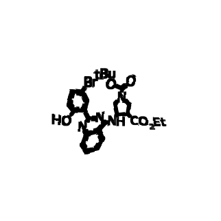 CCOC(=O)C1CN(C(=O)OC(C)(C)C)CC1Nc1nc(-c2cc(Br)ccc2O)nc2ccccc12